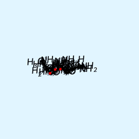 CCCSc1c(NC(=O)c2cc(C(=O)Nc3cccc(NC(=O)[C@H](N)CCCNC(=N)N)c3SCCN)c(OCCN)cc2OCCN)cccc1NC(=O)[C@H](N)CCCNC(C)=N